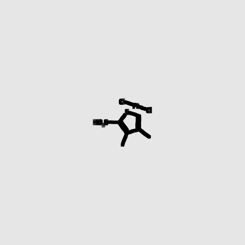 Cc1csc(S(=O)(=O)O)c1C.[Cl][Pt][Cl]